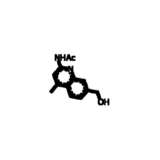 CC(=O)Nc1cc(C)c2ccc(CO)cc2n1